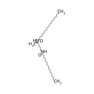 CCCCCCCCCCCCCCCCCC(=O)N[C@H](C)CCCCNC(=O)CCCCCCCCCCCCCCC